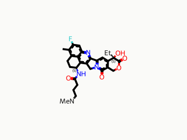 CC[C@@]1(O)C(=O)OCc2c1cc1n(c2=O)Cc2c-1nc1cc(F)c(C)c3c1c2[C@@H](NC(=O)CCCNC)CC3